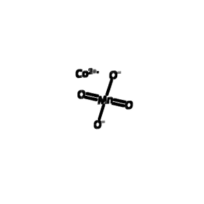 [Co+2].[O]=[Mn](=[O])([O-])[O-]